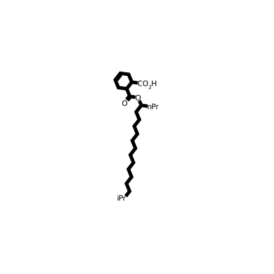 CCCC(CCCCCCCCCCCCC(C)C)OC(=O)C1CC=CCC1C(=O)O